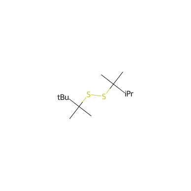 CC(C)C(C)(C)SSC(C)(C)C(C)(C)C